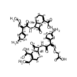 C=CC1=C(C(=O)O)N2C(=O)[C@@H](NC(=O)/C(=N\OCC(=O)O)c3csc(N)n3)[C@H]2SC1.CO/N=C(\C(=O)N[C@@H]1C(=O)N2C(C(=O)O)=CCS[C@H]12)c1csc(N)n1